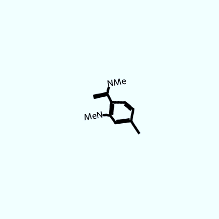 C=C(NC)c1ccc(C)cc1NC